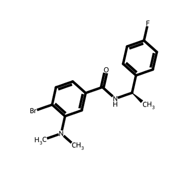 C[C@@H](NC(=O)c1ccc(Br)c(N(C)C)c1)c1ccc(F)cc1